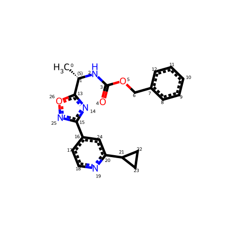 C[C@H](NC(=O)OCc1ccccc1)c1nc(-c2ccnc(C3CC3)c2)no1